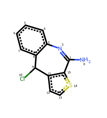 NC1=Nc2ccccc2C(Cl)c2ccsc21